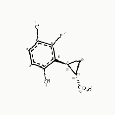 N#Cc1ccc(Cl)c(F)c1[C@H]1C[C@@H]1C(=O)O